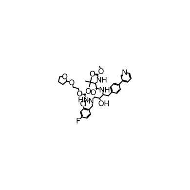 COC(=O)NC(C(=O)NC(Cc1ccc(-c2cccnc2)cc1)C(O)CN(Cc1ccc(F)cc1Cl)NC(=O)OCCOC1CCCO1)C(C)(C)C